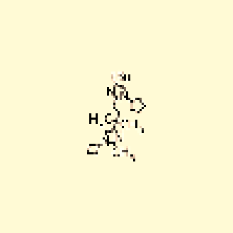 Cc1nc(C(C)(C)CCc2nc(C(C)(C)C)cn2C2CCCC2)cn1C1CCC1